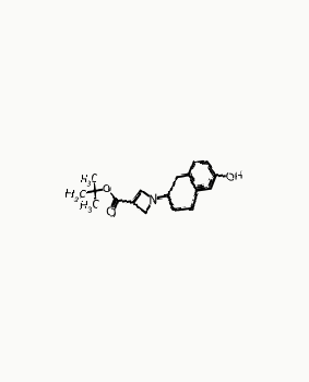 CC(C)(C)OC(=O)C1CN(C2CCc3cc(O)ccc3C2)C1